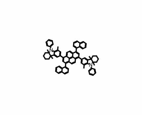 Cc1cc(-c2cc(-c3cccc4ccccc34)c3ccc4c(-c5cc(C)c6c(c5)C5(C)CCCCC5(C)N6c5ccccc5)cc(-c5cccc6ccccc56)c5ccc2c3c45)cc2c1N(c1ccccc1)C1(C)CCCCC21C